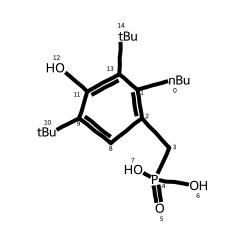 CCCCc1c(CP(=O)(O)O)cc(C(C)(C)C)c(O)c1C(C)(C)C